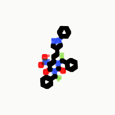 O=c1c([N+](=O)[O-])c(/C=C/c2cnn(-c3ccccc3)c2)n(C(F)c2ccccc2)c(=O)n1C(F)c1ccccc1